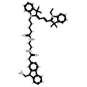 CC[N+]1=C(/C=C/C=C2/N(CCCCC(=O)NCCNC(=O)Cc3ccc4c(c3)C(CO)c3ccccc3-4)c3ccccc3C2(C)C)C(C)(C)c2ccccc21